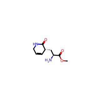 COC(=O)[C@@H](N)C[C@@H]1C=CCNC1=O